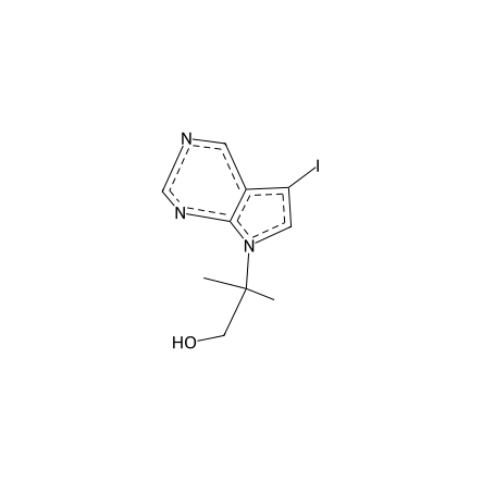 CC(C)(CO)n1cc(I)c2cncnc21